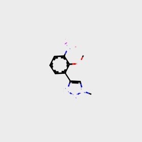 COc1c(C2=CN(C)NN2)cccc1[N+](=O)[O-]